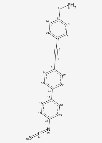 PCc1ccc(C#Cc2ccc(-c3ccc(N=C=S)cc3)cc2)cc1